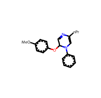 CCCC1=CN(c2ccccc2)C(Oc2ccc(OC)cc2)C=N1